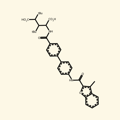 Cc1c(C(=O)Nc2ccc(-c3ccc(C(=O)NC(C(=O)O)C(C(C(=O)O)C(C)(C)C)C(C)(C)C)cc3)cc2)oc2ccccc12